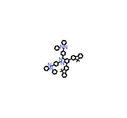 CC1(C)c2ccccc2-c2ccc(-c3cc(-c4ccc5c(c4)C(C)(C)c4ccccc4-5)c4nc(-c5ccc(-c6nc7ccccc7n6-c6ccccc6)cc5)nc(-c5ccc(-c6nc7ccccc7n6-c6ccccc6)cc5)c4c3)cc21